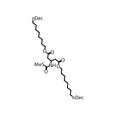 CCCCCCCCCCCCCCCCCCOC(=O)CC(CC(=O)OCCCCCCCCCCCCCCCCCC)NC(=O)SC